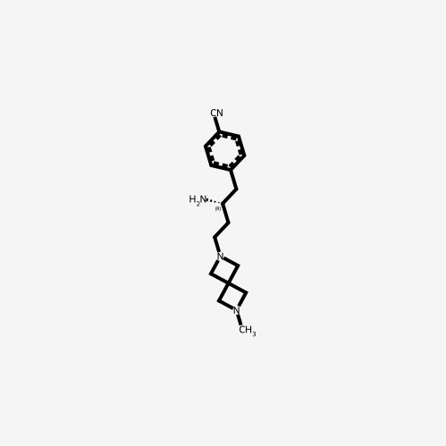 CN1CC2(C1)CN(CC[C@H](N)Cc1ccc(C#N)cc1)C2